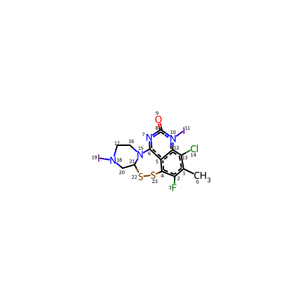 Cc1c(F)c2c3c(nc(=O)n(I)c3c1Cl)N1CCN(I)CC1SS2